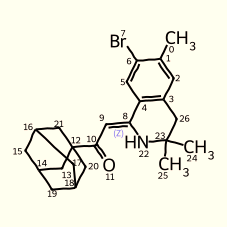 Cc1cc2c(cc1Br)/C(=C/C(=O)C13CC4CC(CC(C4)C1)C3)NC(C)(C)C2